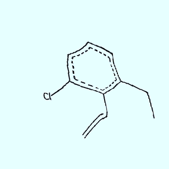 C=Cc1c(Cl)cccc1CC